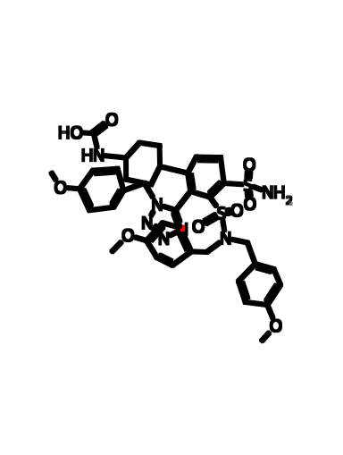 COc1ccc(CN(Cc2ccc(OC)cc2)S(=O)(=O)c2c(S(N)(=O)=O)ccc(C3CCC(NC(=O)O)CC3)c2-c2nnnn2Cc2ccc(OC)cc2)cc1